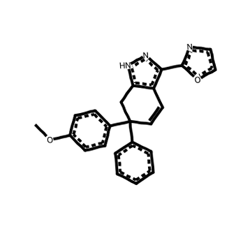 COc1ccc(C2(c3ccccc3)C=Cc3c(-c4ncco4)n[nH]c3C2)cc1